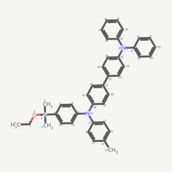 CCO[Si](C)(C)c1ccc(N(c2ccc(C)cc2)c2ccc(-c3ccc(N(c4ccccc4)c4ccccc4)cc3)cc2)cc1